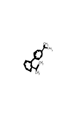 C=C(C)c1ccc(-c2ccccc2C(=C)C)cc1